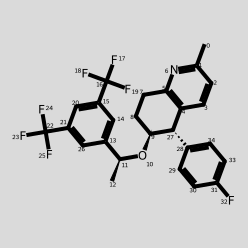 Cc1ccc2c(n1)CC[C@H](O[C@@H](C)c1cc(C(F)(F)F)cc(C(F)(F)F)c1)[C@H]2c1ccc(F)cc1